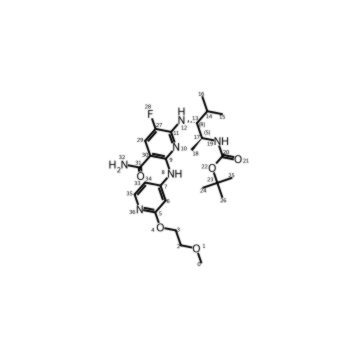 COCCOc1cc(Nc2nc(N[C@H](C(C)C)[C@H](C)NC(=O)OC(C)(C)C)c(F)cc2C(N)=O)ccn1